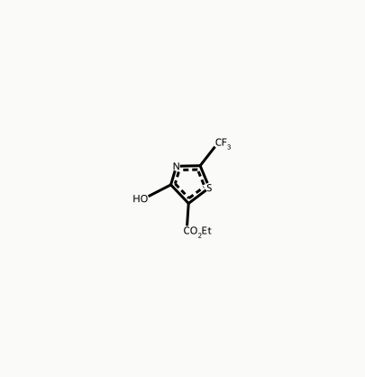 CCOC(=O)c1sc(C(F)(F)F)nc1O